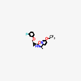 C[C@@H](NC(=O)[C@H]1C[C@@H]1COc1cccc(F)c1)c1ccc(OCC(F)(F)F)cn1